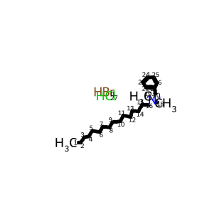 Br.CCCCCCCCCCCCCCCC[N+](C)(C)Cc1ccccc1.Cl